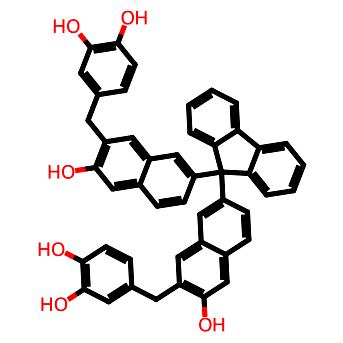 Oc1ccc(Cc2cc3cc(C4(c5ccc6cc(O)c(Cc7ccc(O)c(O)c7)cc6c5)c5ccccc5-c5ccccc54)ccc3cc2O)cc1O